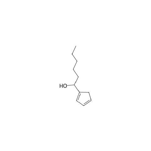 CCCCCC(O)C1=CC=CC1